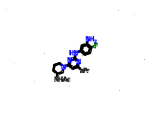 CCCc1cc(N2CCCC(NC(C)=O)C2)nc(Nc2ccc(F)c(N)c2)n1